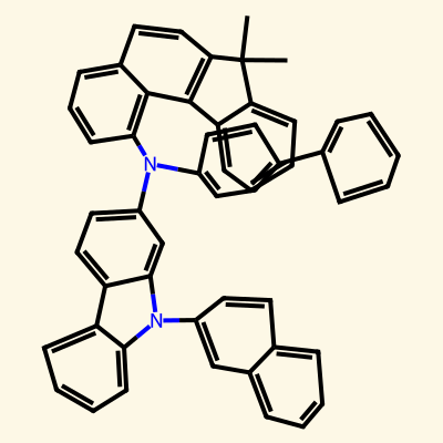 CC1(C)c2ccccc2-c2c1ccc1cccc(N(c3ccc(-c4ccccc4)cc3)c3ccc4c5ccccc5n(-c5ccc6ccccc6c5)c4c3)c21